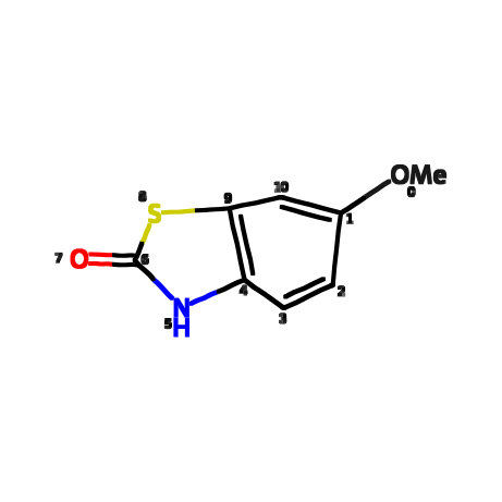 COc1ccc2[nH]c(=O)sc2c1